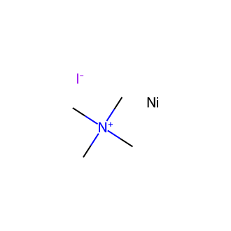 C[N+](C)(C)C.[I-].[Ni]